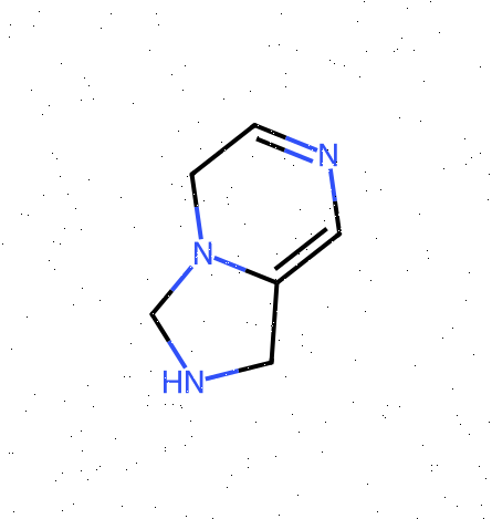 C1=NC=C2CNCN2C1